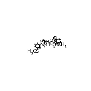 CSc1cccc(N2CCN(CCCCN3C(=O)CSC3(C)C)CC2)c1